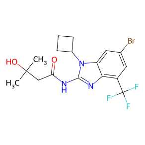 CC(C)(O)CC(=O)Nc1nc2c(C(F)(F)F)cc(Br)cc2n1C1CCC1